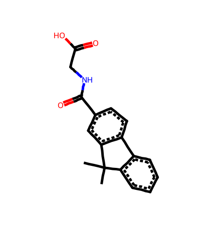 CC1(C)c2ccccc2-c2ccc(C(=O)NCC(=O)O)cc21